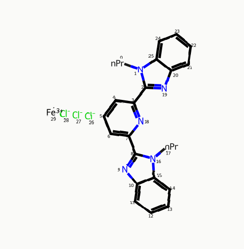 CCCn1c(-c2cccc(-c3nc4ccccc4n3CCC)n2)nc2ccccc21.[Cl-].[Cl-].[Cl-].[Fe+3]